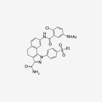 CCS(=O)(=O)c1ccc(-n2nc(C(N)=O)c3c2-c2cc(NC(=O)c4cc(NC(C)=O)ccc4Cl)ccc2CC3)cc1